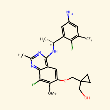 COc1c(OCC2(CO)CC2)cc2c(N[C@H](C)c3cc(N)cc(C(F)(F)F)c3F)nc(C)nc2c1F